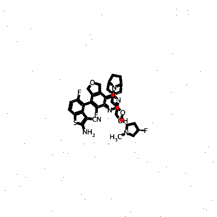 CN1C[C@H](F)C[C@H]1COc1nc(N2C3CCC2CN(CCCO)C3)c2c3c(c(-c4c(F)ccc5sc(N)c(C#N)c45)c(F)c2n1)COC3